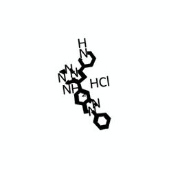 Cl.Nc1ncnn2c(C3CCCNC3)cc(-c3ccc4cn(-c5ccccc5)nc4c3)c12